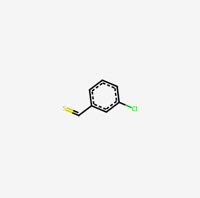 S=[C]c1cccc(Cl)c1